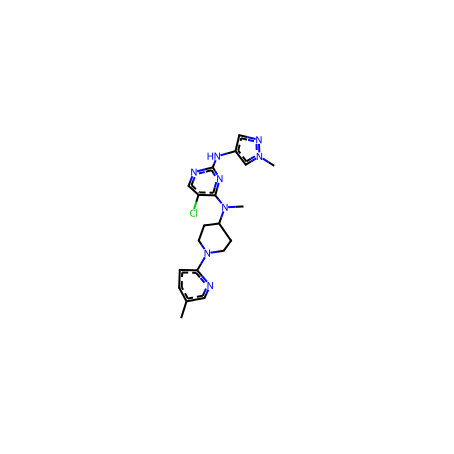 Cc1ccc(N2CCC(N(C)c3nc(Nc4cnn(C)c4)ncc3Cl)CC2)nc1